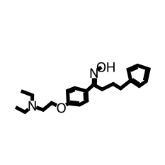 CCN(CC)CCOc1ccc(C(CCCc2ccccc2)=NO)cc1